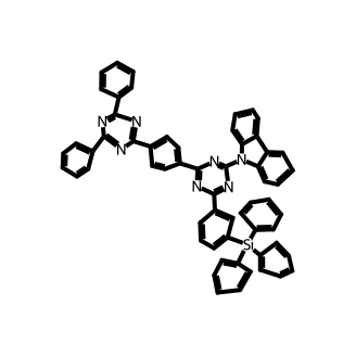 c1ccc(-c2nc(-c3ccccc3)nc(-c3ccc(-c4nc(-c5cccc([Si](c6ccccc6)(c6ccccc6)c6ccccc6)c5)nc(-n5c6ccccc6c6ccccc65)n4)cc3)n2)cc1